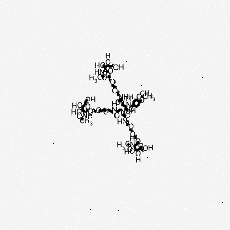 CC(=O)NC1C(OCCOCCOCCNC(=O)CCC(NC(=O)C2CCC(OC(C)(C)C)CC2)C(O)N(CC(=O)NCCOCCOCCOC2OC(CO)C(O)C(O)C2NC(C)=O)CC(=O)NCCOCCOCCOC2OC(CO)C(O)C(O)C2NC(C)=O)OC(CO)C(O)C1O